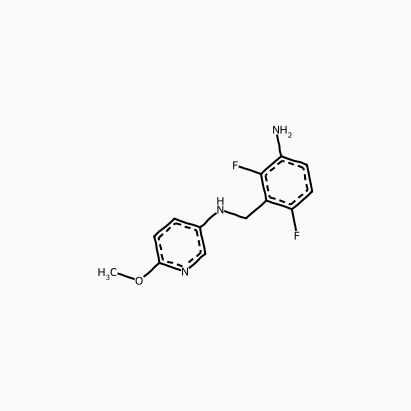 COc1ccc(NCc2c(F)ccc(N)c2F)cn1